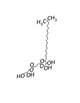 CC(C)CCCCCCCCCCCCCCCC(OC(=O)CCC(=O)OCC(O)CO)C(O)CO